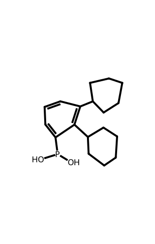 OP(O)c1cccc(C2CCCCC2)c1C1CCCCC1